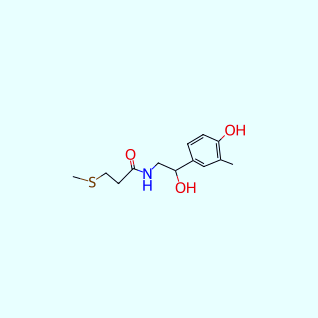 CSCCC(=O)NCC(O)c1ccc(O)c(C)c1